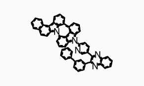 c1ccc(-c2cccc(-c3nc4ccccc4nc3-c3ccc(-n4c5cccc6c7cccc8c9c%10ccccc%10ccc9n(c9cccc4c9c65)c78)nc3)c2)cc1